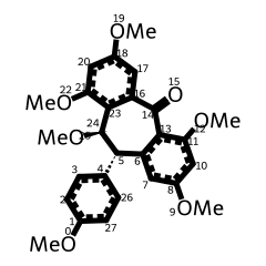 COc1ccc([C@H]2c3cc(OC)cc(OC)c3C(=O)c3cc(OC)cc(OC)c3[C@@H]2OC)cc1